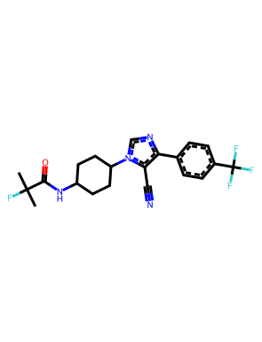 CC(C)(F)C(=O)NC1CCC(n2cnc(-c3ccc(C(F)(F)F)cc3)c2C#N)CC1